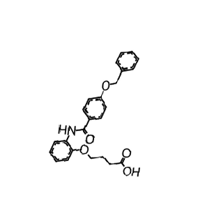 O=C(O)CCCOc1ccccc1NC(=O)c1ccc(OCc2ccccc2)cc1